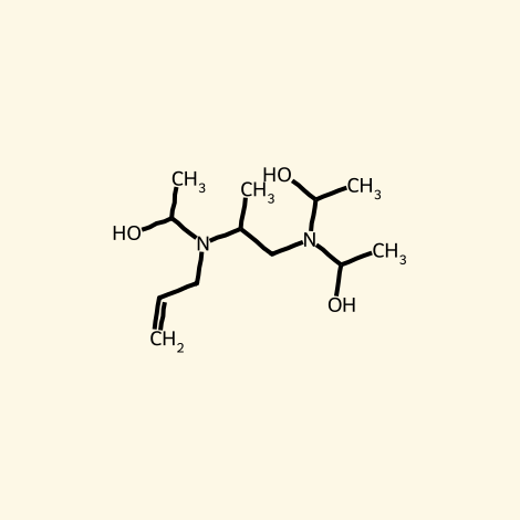 C=CCN(C(C)O)C(C)CN(C(C)O)C(C)O